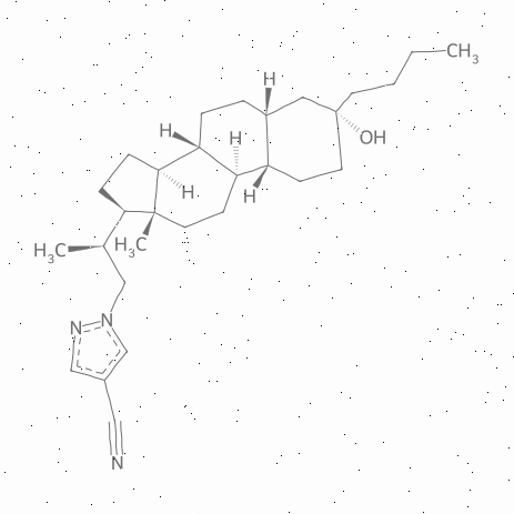 CCCC[C@@]1(O)CC[C@H]2[C@H](CC[C@@H]3[C@@H]2CC[C@]2(C)[C@@H]([C@H](C)Cn4cc(C#N)cn4)CC[C@@H]32)C1